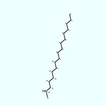 CCCCCCCCCCCCCCCCNC